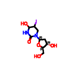 O=C1NC(O)C(I)CN1[C@H]1C[C@H](O)[C@@H](CO)O1